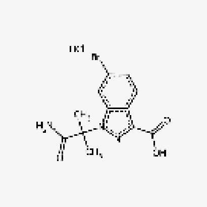 CC(C)(C(N)=O)n1nc(C(=O)O)c2ccc(Br)cc21.Cl